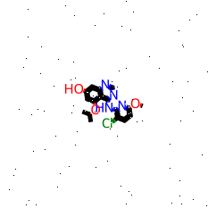 COc1ccc(Cl)c(Nc2ncnc3cc(O)cc(OC(C)C)c23)n1